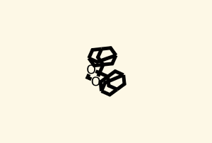 C1OC(C23CC4CC(CC(C4)C2)C3)(C23CC4CC(CC(C4)C2)C3)O1